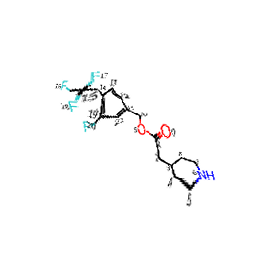 O=C(CC1CCNCC1)OCc1ccc(C(F)(F)F)c(F)c1